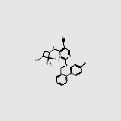 CC1(C)[C@H](O)C[C@H]1Nc1nc(NCc2cncnc2-c2ccc(F)cc2)ncc1C#N